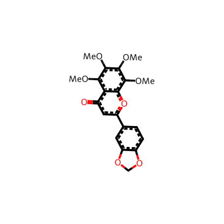 COc1c(OC)c(OC)c2c(=O)cc(-c3ccc4c(c3)OCO4)oc2c1OC